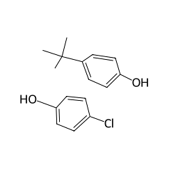 CC(C)(C)c1ccc(O)cc1.Oc1ccc(Cl)cc1